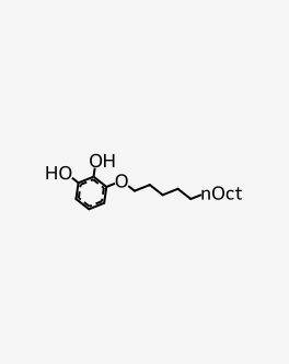 CCCCCCCCCCCCCOc1cccc(O)c1O